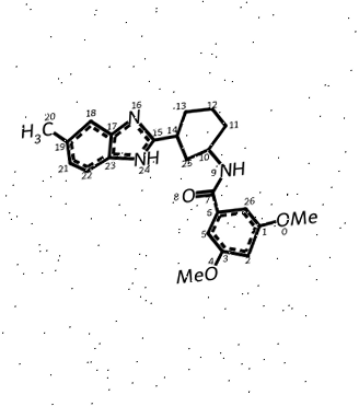 COc1cc(OC)cc(C(=O)NC2CCCC(c3nc4cc(C)ccc4[nH]3)C2)c1